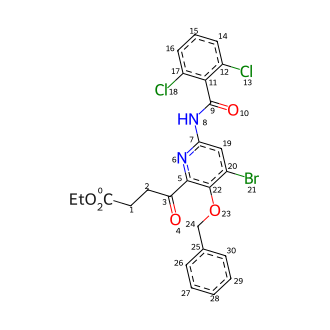 CCOC(=O)CCC(=O)c1nc(NC(=O)c2c(Cl)cccc2Cl)cc(Br)c1OCc1ccccc1